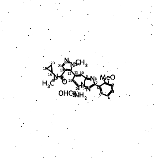 COc1ccccc1-c1nc2cc(-c3c(C(=O)N(C)C4CC4)cnn3C)ccn2n1.NC=O